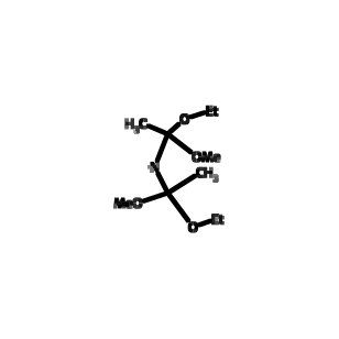 CCOC(C)([N]C(C)(OC)OCC)OC